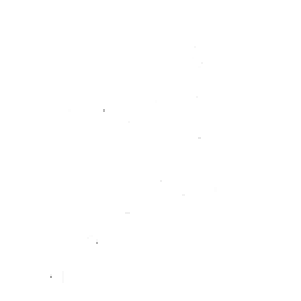 CCOCOc1c2ccccc2c(OCOCC)c2ccccc12